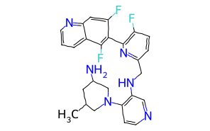 CC1CC(N)CN(c2ccncc2NCc2ccc(F)c(-c3c(F)cc4ncccc4c3F)n2)C1